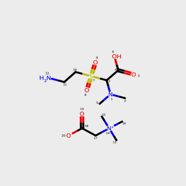 CN(C)C(C(=O)O)S(=O)(=O)CCN.C[N+](C)(C)CC(=O)[O-]